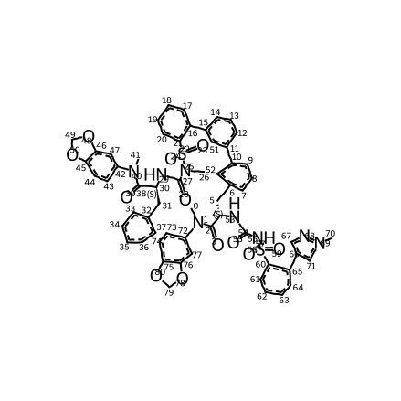 CN(C(=O)[C@H](Cc1cccc(-c2cccc(-c3ccccc3S(=O)(=O)N(C)C(=O)N[C@@H](Cc3ccccc3)C(=O)N(C)c3ccc4c(c3)OCO4)c2)c1)NC(=O)NS(=O)(=O)c1ccccc1-c1cnn(C)c1)c1ccc2c(c1)OCO2